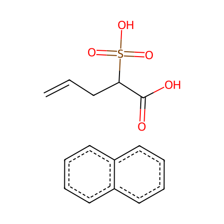 C=CCC(C(=O)O)S(=O)(=O)O.c1ccc2ccccc2c1